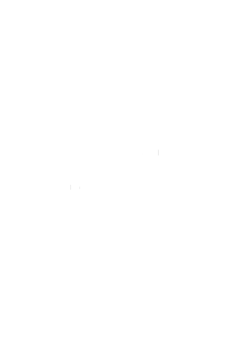 C/C(C(=O)O)=C(\C(F)(F)F)C(Cl)(Cl)Cl